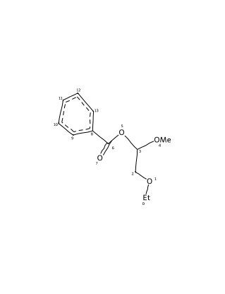 CCOCC(OC)OC(=O)c1ccccc1